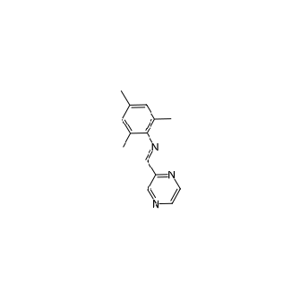 Cc1cc(C)c(N=Cc2cnccn2)c(C)c1